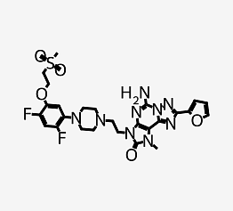 Cn1c(=O)n(CCN2CCN(c3cc(OCCS(C)(=O)=O)c(F)cc3F)CC2)c2nc(N)n3nc(-c4ccco4)nc3c21